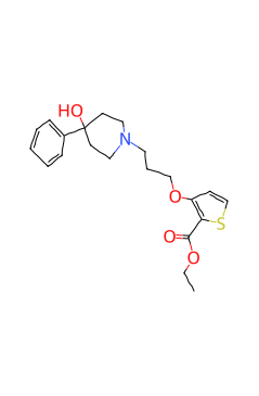 CCOC(=O)c1sccc1OCCCN1CCC(O)(c2ccccc2)CC1